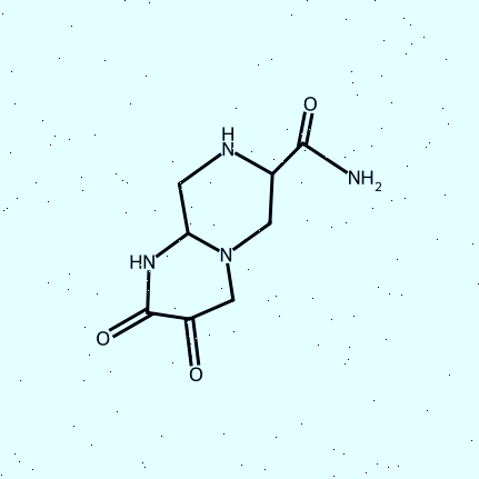 NC(=O)C1CN2CC(=O)C(=O)NC2CN1